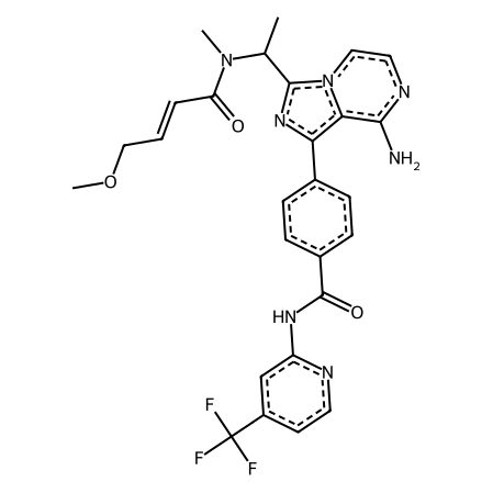 COCC=CC(=O)N(C)C(C)c1nc(-c2ccc(C(=O)Nc3cc(C(F)(F)F)ccn3)cc2)c2c(N)nccn12